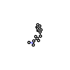 c1ccc(-n2c3ccccc3c3cc(-c4c5ccccc5c(-c5cccc(-c6ccc7c8c(ccc7c6)-c6ccc7ccccc7c6C86c7ccccc7-c7ccccc76)c5)c5ccccc45)ccc32)cc1